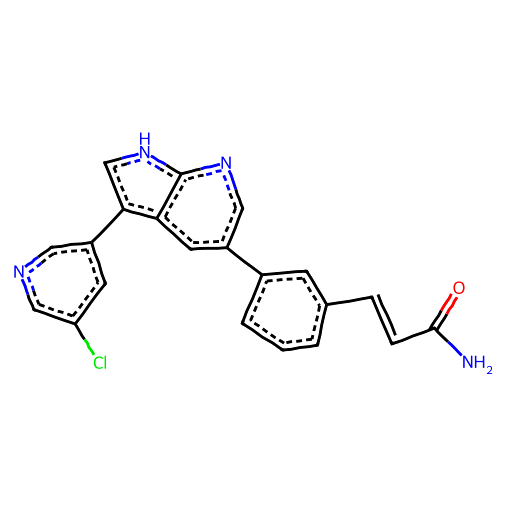 NC(=O)C=Cc1cccc(-c2cnc3[nH]cc(-c4cncc(Cl)c4)c3c2)c1